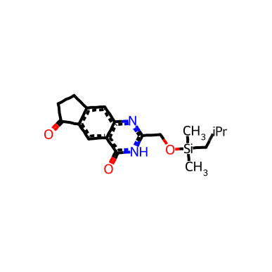 CC(C)C[Si](C)(C)OCc1nc2cc3c(cc2c(=O)[nH]1)C(=O)CC3